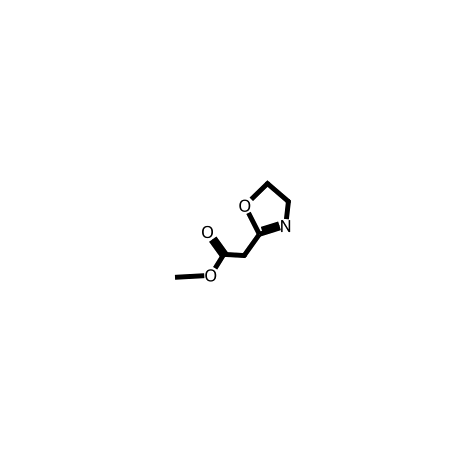 COC(=O)CC1=NCCO1